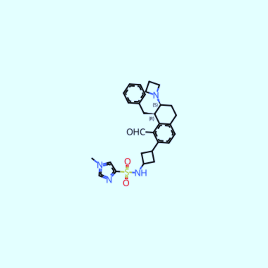 Cn1cnc(S(=O)(=O)NC2CC(c3ccc4c(c3C=O)[C@@H](Cc3ccccc3)[C@@H](N3CCC3)CC4)C2)c1